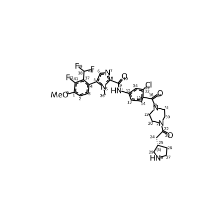 COc1ccc(-c2cnc(C(=O)Nc3ccc(C(=O)N4CCN(C(=O)C[C@@H]5CCNC5)CC4)c(Cl)c3)n2C)c(C(F)F)c1F